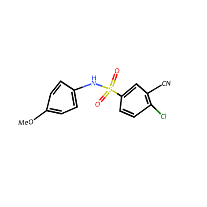 COc1ccc(NS(=O)(=O)c2ccc(Cl)c(C#N)c2)cc1